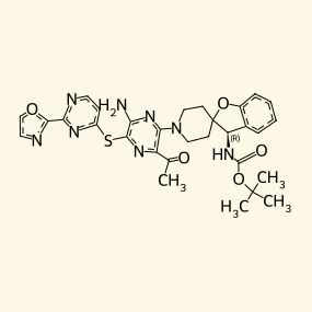 CC(=O)c1nc(Sc2ccnc(-c3ncco3)n2)c(N)nc1N1CCC2(CC1)Oc1ccccc1[C@H]2NC(=O)OC(C)(C)C